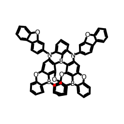 c1ccc2c(c1)Oc1cc3c(c4c1B2c1ccccc1O4)B1c2c(cccc2N(c2ccc4c(c2)oc2ccccc24)c2cc4c5c(c21)Oc1ccccc1B5c1ccccc1O4)N3c1ccc2c(c1)oc1ccccc12